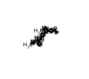 Cn1cc(-n2c(=O)c(C(=O)Nc3ccc(C4C=C(C5CCN(C(=O)C6CC6)CC5)N5N=CN=C(N)C45)cc3)c3n2CCCC3)cn1